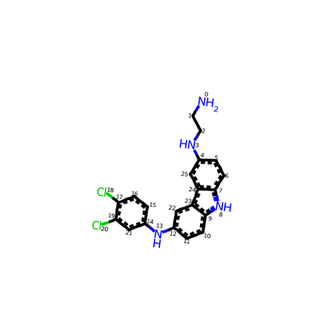 NCCNc1ccc2[nH]c3ccc(Nc4ccc(Cl)c(Cl)c4)cc3c2c1